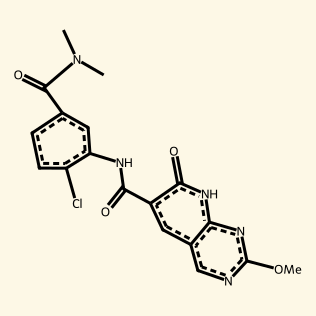 COc1ncc2cc(C(=O)Nc3cc(C(=O)N(C)C)ccc3Cl)c(=O)[nH]c2n1